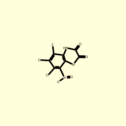 O=C1[N]c2c(c(F)c(Cl)c(Cl)c2[N+](=O)[O-])NC1=O